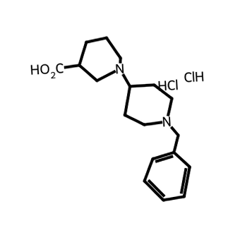 Cl.Cl.O=C(O)C1CCCN(C2CCN(Cc3ccccc3)CC2)C1